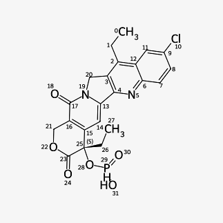 CCc1c2c(nc3ccc(Cl)cc13)-c1cc3c(c(=O)n1C2)COC(=O)[C@@]3(CC)O[PH](=O)O